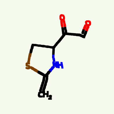 C=C1NC(C(=O)C=O)CS1